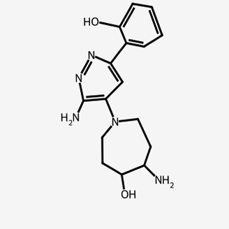 Nc1nnc(-c2ccccc2O)cc1N1CCC(N)C(O)CC1